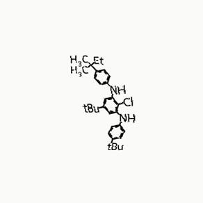 CCC(C)(C)c1ccc(Nc2cc(C(C)(C)C)cc(Nc3ccc(C(C)(C)C)cc3)c2Cl)cc1